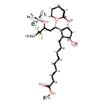 CCCCCCC(F)(F)C(CC[C@@H]1C(CCCCCCCCC(=O)OC(C)C)[C@H](O)C[C@H]1OC1CCCCO1)O[Si](C)(C)C(C)(C)C